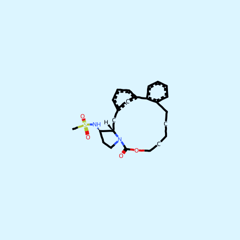 CS(=O)(=O)N[C@H]1CCN2C(=O)OCCCCCc3ccccc3-c3cccc(c3)C[C@@H]12